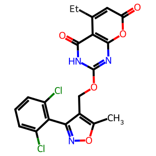 CCc1cc(=O)oc2nc(OCc3c(-c4c(Cl)cccc4Cl)noc3C)[nH]c(=O)c12